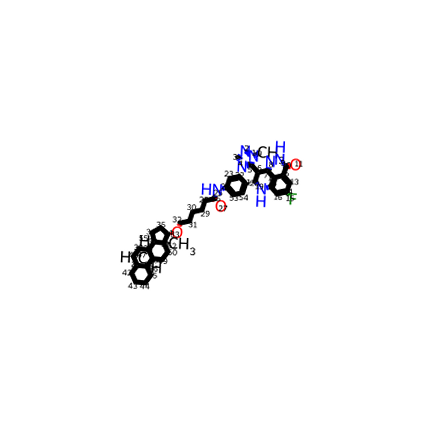 Cn1ncnc1C1c2n[nH]c(=O)c3cc(F)cc(c23)N[C@@H]1c1ccc(NC(=O)CCCCCO[C@@H]2CCC3[C@@H]4CCC5CCCC[C@]5(C)[C@H]4CC[C@@]32C)cc1